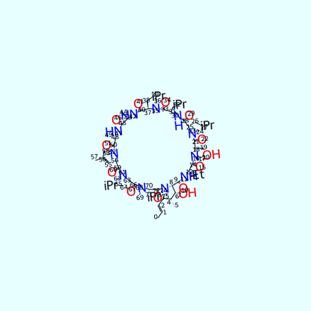 C/C=C/C[C@@H](C)[C@@H](O)[C@H]1C(=O)N[C@@H](CC)C(=O)N(C)[C@H](CO)C(=O)N(C)[C@@H](CC(C)C)C(=O)N[C@H](C(C)C)C(=O)N(C)[C@H](CC(C)C)C(=O)N[C@H](C)C(=O)N[C@@H](C)C(=O)N(C)[C@@H](C=C(C)C)C(=O)N(C)[C@@H](CC(C)C)C(=O)N(C)[C@@H](C(C)C)C(=O)N1C